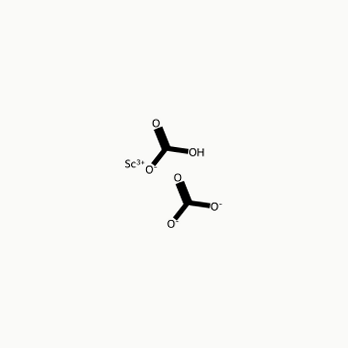 O=C([O-])O.O=C([O-])[O-].[Sc+3]